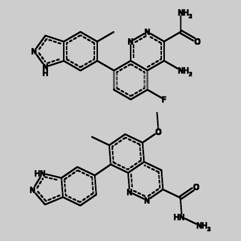 COc1cc(C)c(-c2ccc3cn[nH]c3c2)c2nnc(C(=O)NN)cc12.Cc1cc2cn[nH]c2cc1-c1ccc(F)c2c(N)c(C(N)=O)nnc12